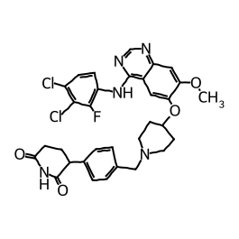 COc1cc2ncnc(Nc3ccc(Cl)c(Cl)c3F)c2cc1OC1CCN(Cc2ccc(C3CCC(=O)NC3=O)cc2)CC1